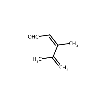 C=C(C)C(C)=CC=O